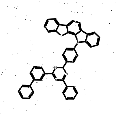 c1ccc(C2=NC(c3ccc(-n4c5ccccc5c5ccc6c7ccccc7sc6c54)cc3)NC(c3cccc(-c4ccccc4)c3)=N2)cc1